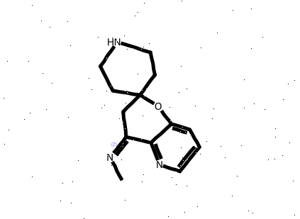 C/N=C1/CC2(CCNCC2)Oc2cccnc21